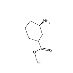 CC(C)OC(=O)C1CCC[C@@H](N)C1